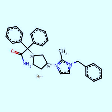 Cc1n([C@@H]2CC[C@H](C(C(N)=O)(c3ccccc3)c3ccccc3)C2)cc[n+]1Cc1ccccc1.[Br-]